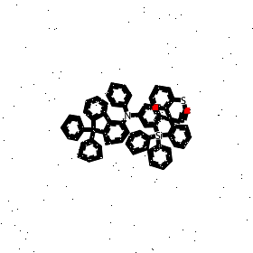 c1ccc(N(c2ccc3c(c2)[Si](c2ccccc2)(c2ccccc2)c2ccccc2C32c3ccccc3Sc3ccccc32)c2cccc3c2-c2ccccc2C3(c2ccccc2)c2ccccc2)cc1